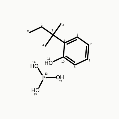 CCC(C)(C)c1ccccc1O.OP(O)O